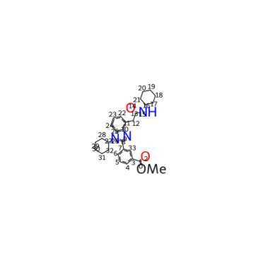 COC(=O)c1cccc(-c2nc3c(CC(=O)NC4CCCCC4)cccc3n2C2CCCCC2)c1